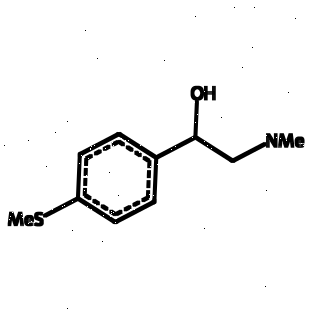 CNCC(O)c1ccc(SC)cc1